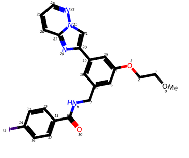 COCCOc1cc(CNC(=O)c2ccc(I)cc2)cc(-c2cn3ncccc3n2)c1